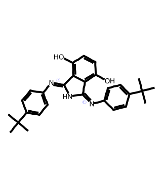 CC(C)(C)c1ccc(/N=C2\N/C(=N/c3ccc(C(C)(C)C)cc3)c3c(O)ccc(O)c32)cc1